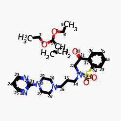 C=C.CCOC(C)OCC.O=C1CN(CCCN2CCN(c3ncccn3)CC2)S(=O)(=O)c2ccccc21